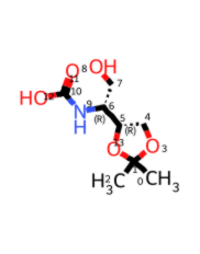 CC1(C)OC[C@@H]([C@@H](CO)NC(=O)O)O1